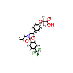 CCCN(CCc1ccc(OC(C)(C)C(=O)O)cc1)S(=O)(=O)c1ccc(C(F)(F)F)cc1